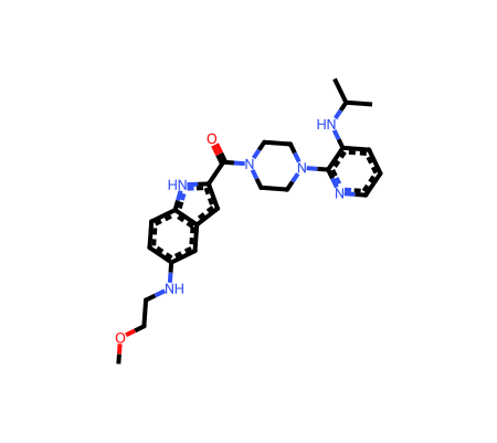 COCCNc1ccc2[nH]c(C(=O)N3CCN(c4ncccc4NC(C)C)CC3)cc2c1